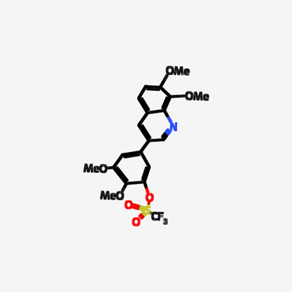 COc1cc(-c2cnc3c(OC)c(OC)ccc3c2)cc(OS(=O)(=O)C(F)(F)F)c1OC